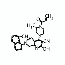 C=CC(=O)N1CCN(c2c(C#N)c(O)nc3c2CCN(c2cccc4cccc(C)c24)C3)CC1C